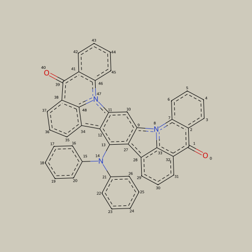 O=c1c2ccccc2n2c3cc4c(c(N(c5ccccc5)c5ccccc5)c3c3cccc1c32)c1cccc2c(=O)c3ccccc3n4c21